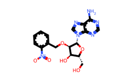 Nc1ncnc2c1ncn2[C@@H]1O[C@H](CO)[C@@H](O)[C@H]1OCc1ccccc1[N+](=O)[O-]